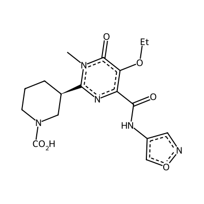 CCOc1c(C(=O)Nc2cnoc2)nc([C@@H]2CCCN(C(=O)O)C2)n(C)c1=O